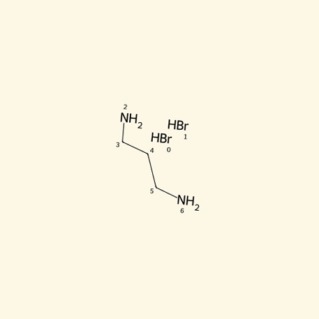 Br.Br.NCCCN